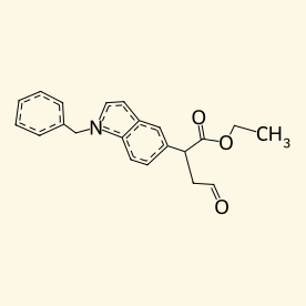 CCOC(=O)C(CC=O)c1ccc2c(ccn2Cc2ccccc2)c1